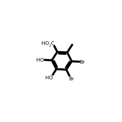 Cc1c(Br)c(Br)c(O)c(O)c1C(=O)O